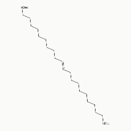 CCCCCCCCCCCCCCCCCCC/C=C/CCCCCCCCCCCCCCCCCCC